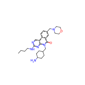 CCCCNc1ncc2c3ccc(CN4CCOCC4)cc3c(=O)n(CC3CCC(N)CC3)c2n1